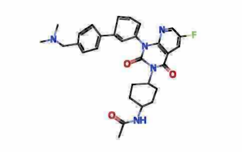 CC(=O)NC1CCC(n2c(=O)c3cc(F)cnc3n(-c3cccc(-c4ccc(CN(C)C)cc4)c3)c2=O)CC1